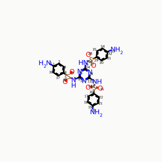 Nc1ccc(S(=O)(=O)Nc2nc(NS(=O)(=O)c3ccc(N)cc3)nc(NS(=O)(=O)c3ccc(N)cc3)n2)cc1